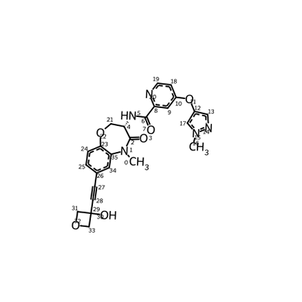 CN1C(=O)[C@@H](NC(=O)c2cc(Oc3cnn(C)c3)ccn2)COc2ccc(C#CC3(O)COC3)cc21